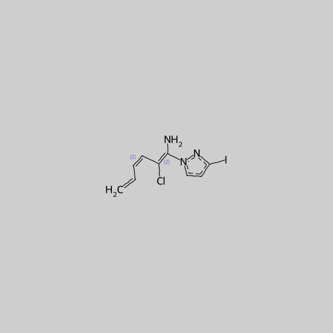 C=C/C=C\C(Cl)=C(/N)n1ccc(I)n1